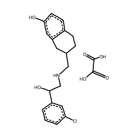 O=C(O)C(=O)O.Oc1ccc2c(c1)CC(CNCC(O)c1cccc(Cl)c1)CC2